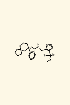 [2H]C([2H])(OC)c1ccsc1CNCC[C@@]1(c2ccccn2)CCOC2(CCCC2)C1